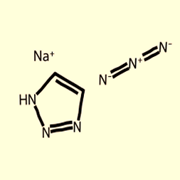 [N-]=[N+]=[N-].[Na+].c1c[nH]nn1